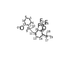 COc1ccccc1C(C)(C)Cc1ccc(C(C)(C)C)c(OC(F)(F)F)c1